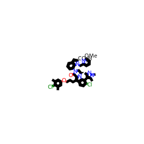 COc1cccc(Cn2c(C(=O)O)cc3cccc(N4C[C@@H](C)n5c(c(CCCOc6cc(C)c(Cl)c(C)c6)c6ccc(Cl)c(-c7c(C)nn(C)c7C)c65)C4=O)c32)n1